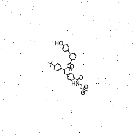 CC(C)(C)c1ccc(C(Cc2ccc(C(=O)NCCS(C)(=O)=O)cc2)c2cc(-c3cccc(-c4ccc(O)cc4)c3)on2)cc1